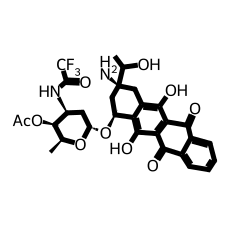 CC(=O)O[C@H]1[C@@H](NC(=O)C(F)(F)F)C[C@H](O[C@H]2C[C@](N)(C(C)O)Cc3c(O)c4c(c(O)c32)C(=O)c2ccccc2C4=O)O[C@H]1C